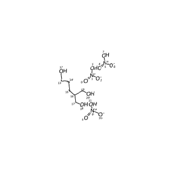 O=[N+]([O-])O.O=[N+]([O-])O.O=[N+]([O-])O.OCCCC(CO)CO